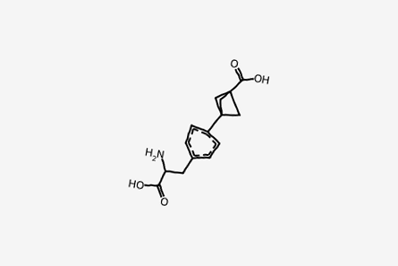 NC(Cc1ccc(C23CC(C(=O)O)(C2)C3)cc1)C(=O)O